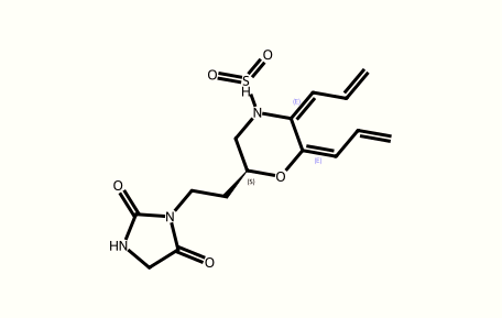 C=C/C=C1/O[C@@H](CCN2C(=O)CNC2=O)CN([SH](=O)=O)/C1=C/C=C